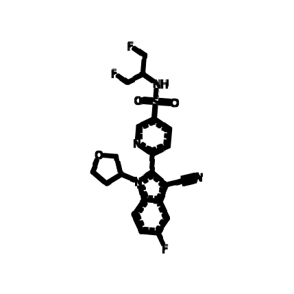 N#Cc1c(-c2ccc(S(=O)(=O)NC(CF)CF)cn2)n(C2CCOC2)c2ccc(F)cc12